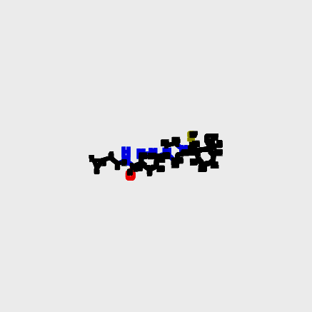 O=C(NCCC1CC1)c1ccc(N2CCN(C(=S)c3ccccc3C(F)(F)F)CC2)nn1